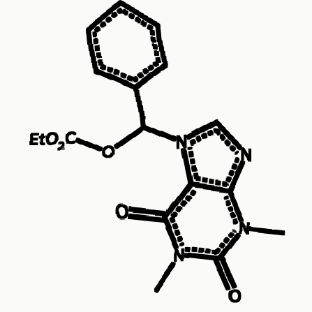 CCOC(=O)OC(c1ccccc1)n1cnc2c1c(=O)n(C)c(=O)n2C